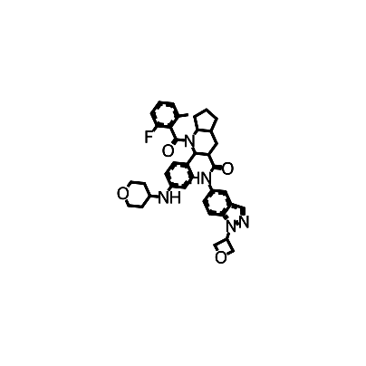 Cc1cccc(F)c1C(=O)N1C2CCCC2CC(C(=O)Nc2ccc3c(cnn3C3COC3)c2)C1c1ccc(NC2CCOCC2)cc1